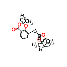 CC1(C)OC(=O)c2cccc(C3CC3B3OC4CC5C[C@@H](C5(C)C)[C@]4(C)O3)c2O1